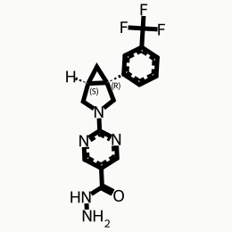 NNC(=O)c1cnc(N2C[C@H]3C[C@@]3(c3cccc(C(F)(F)F)c3)C2)nc1